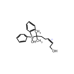 CC(C)(CC/C=C\CO)[Si](O)(c1ccccc1)c1ccccc1